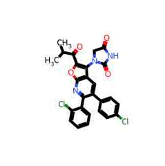 CC(C)C(=O)c1oc2nc(-c3ccccc3Cl)c(-c3ccc(Cl)cc3)cc2c1N1CC(=O)NC1=O